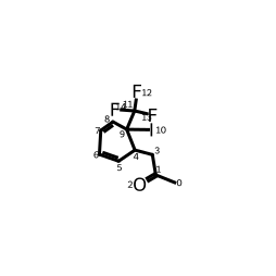 CC(=O)CC1C=CC=CC1(I)C(F)(F)F